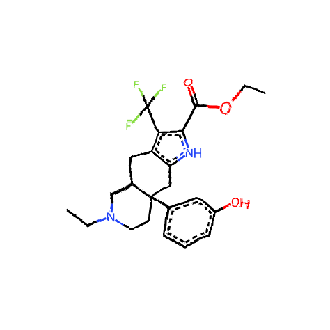 CCOC(=O)c1[nH]c2c(c1C(F)(F)F)CC1CN(CC)CCC1(c1cccc(O)c1)C2